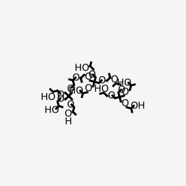 CC(O)COCC(COCC(C)O)(COCC(C)O)COCC(C)OC(C)COCC(COCC(C)O)(COCC(C)O)COCC(C)OC(C)COCC(COCC(C)O)(COCC(C)O)COCC(C)O